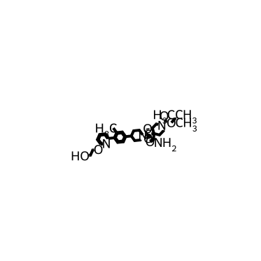 Cc1cc(C2CCN(S(=O)(=O)C3(C(N)=O)CCN(C(=O)OC(C)(C)C)CC3)CC2)ccc1-c1cccc(OCCO)n1